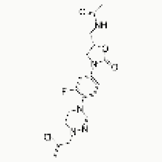 C=C(Cl)CN1CCN(c2ccc(N3C[C@H](CNC(C)=O)OC3=O)cc2F)C=N1